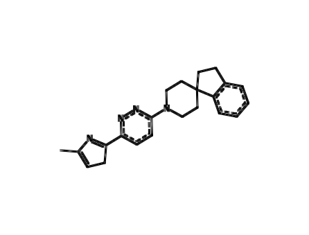 CC1=CCC(c2ccc(N3CCC4(CCc5ccccc54)CC3)nn2)=N1